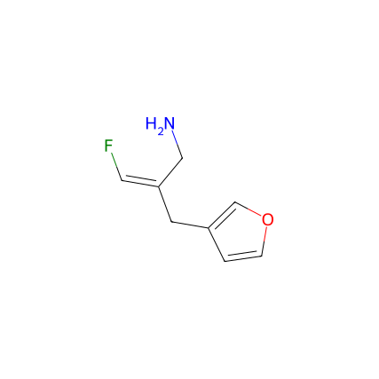 NC/C(=C\F)Cc1ccoc1